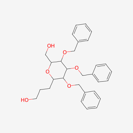 OCCCC1OC(CO)C(OCc2ccccc2)C(OCc2ccccc2)C1OCc1ccccc1